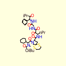 CCCC(NC(=O)C1CC2(CN1C(=O)C(C1CCCCC1)N(C)C(=O)OCC(C)C)SCCCS2)C(=O)C(=O)NCC(=O)NC(C(=O)C(C)C)c1ccccc1